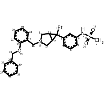 CCC1(c2cccc(NS(C)(=O)=O)c2)C2CN(Cc3ccccc3OCc3ccccc3)CC21